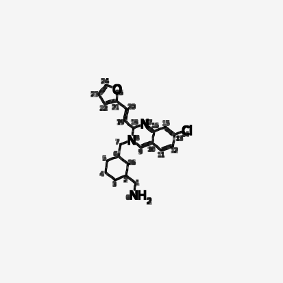 NCC1CCCC(CN2C=c3ccc(Cl)cc3=NC2C=Cc2ccco2)C1